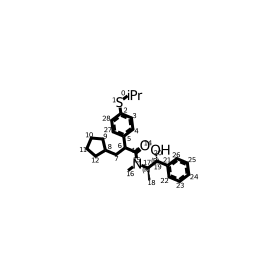 CC(C)Sc1ccc(C(CC2CCCC2)C(=O)N(C)[C@H](C)[C@H](O)c2ccccc2)cc1